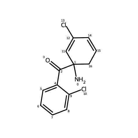 NC1(C(=O)c2ccccc2Cl)C=C(Cl)C=CC1